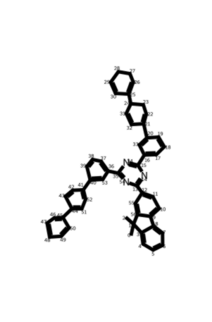 CC1(C)c2ccccc2-c2ccc(-c3nc(-c4cccc(C5=CCC(C6=CCCC=C6)C=C5)c4)nc(-c4cccc(-c5ccc(-c6ccccc6)cc5)c4)n3)cc21